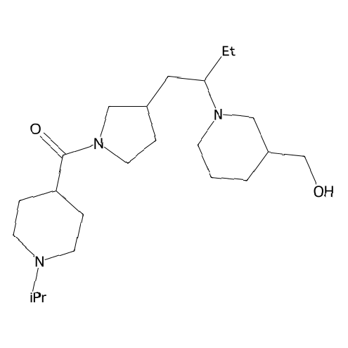 CCC(CC1CCN(C(=O)C2CCN(C(C)C)CC2)C1)N1CCCC(CO)C1